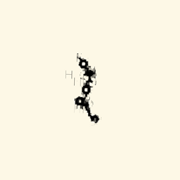 Cc1c(C(=O)Nc2ccc(Oc3cccnc3C(=O)NCCc3cccs3)cc2)nnn1-c1ccc(F)cc1